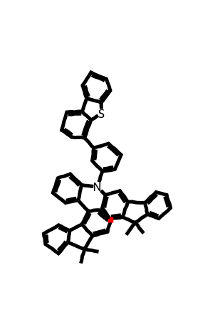 CC1(C)c2ccccc2-c2cc(N(c3cccc(-c4cccc5c4sc4ccccc45)c3)c3ccccc3-c3cccc4c3-c3ccccc3C4(C)C)ccc21